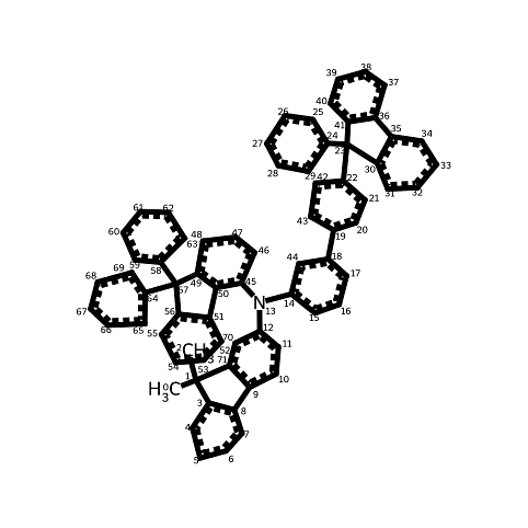 CC1(C)c2ccccc2-c2ccc(N(c3cccc(-c4ccc(C5(c6ccccc6)c6ccccc6-c6ccccc65)cc4)c3)c3cccc4c3-c3ccccc3C4(c3ccccc3)c3ccccc3)cc21